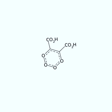 O=C(O)c1ooooc1C(=O)O